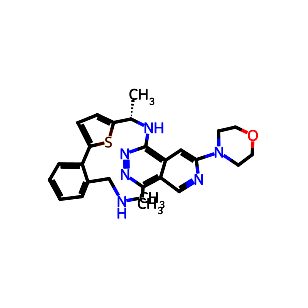 CNCc1ccccc1-c1ccc([C@H](C)Nc2nnc(C)c3cnc(N4CCOCC4)cc23)s1